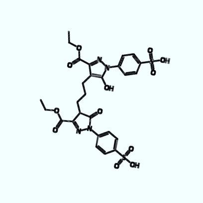 CCOC(=O)C1=NN(c2ccc(S(=O)(=O)O)cc2)C(=O)C1CCCc1c(C(=O)OCC)nn(-c2ccc(S(=O)(=O)O)cc2)c1O